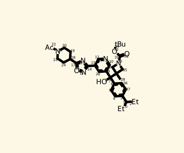 CCC(CC)c1ccc(C(O)(c2cncc(-c3noc(C4CCN(C(C)=O)CC4)n3)c2)C2(C)CN(C(=O)OC(C)(C)C)C2)cc1